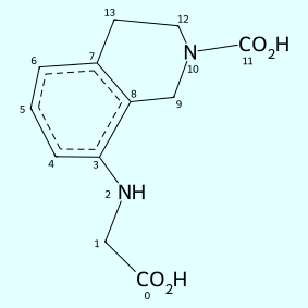 O=C(O)CNc1cccc2c1CN(C(=O)O)CC2